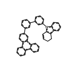 C1=Cc2c(c3ccccc3n2-c2cccc(-c3cccc(-c4ccc5c6ccccc6c6ccccc6c5c4)c3)c2)CC1